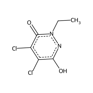 CCn1nc(O)c(Cl)c(Cl)c1=O